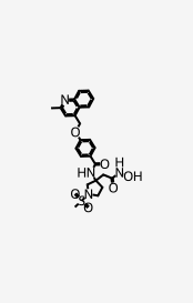 Cc1cc(COc2ccc(C(=O)NC3(CC(=O)NO)CCN(S(C)(=O)=O)C3)cc2)c2ccccc2n1